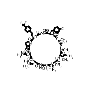 CC[C@H](C)[C@@H]1NC(=O)[C@H](C)N(C)C(=O)C[C@@H](C)NC(=O)[C@H](CC(C)C)N(C)C(=O)[C@H](CC(C)C)N(C)C(=O)[C@@H]2CCCN2C(=O)[C@H](CCc2ccc(C(F)(F)F)cc2)NC(=O)CN(C)C(=O)[C@H](Cc2ccc(Cl)cc2)N(C)C(=O)CN(C)C(=O)CN(C)C1=O